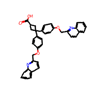 O=C(O)C1CC(c2ccc(OCc3ccc4ccccc4n3)cc2)(c2ccc(OCc3ccc4ccccc4n3)cc2)C1